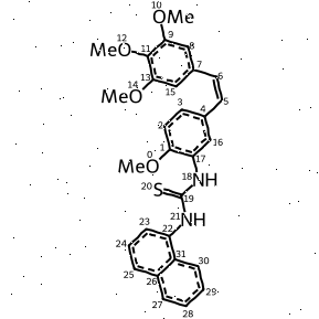 COc1ccc(/C=C\c2cc(OC)c(OC)c(OC)c2)cc1NC(=S)Nc1cccc2ccccc12